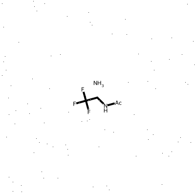 CC(=O)NCC(F)(F)F.N